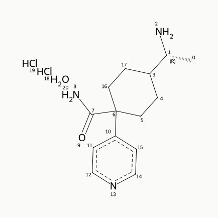 C[C@@H](N)C1CCC(C(N)=O)(c2ccncc2)CC1.Cl.Cl.O